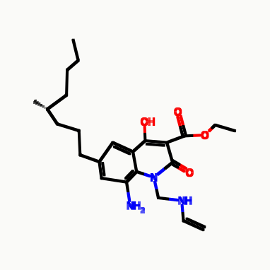 C=CNCn1c(=O)c(C(=O)OCC)c(O)c2cc(CCC[C@H](C)CCCC)cc(N)c21